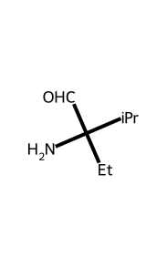 CCC(N)(C=O)C(C)C